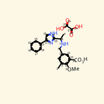 COc1c(C)cc(CNC(C)c2nc(-c3ccccc3)c[nH]2)cc1C(=O)O.O=C(O)C(=O)O